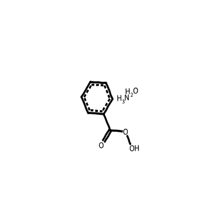 N.O.O=C(OO)c1ccccc1